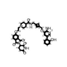 Nc1nnc(-c2ccccc2O)cc1OCC12CC(CNC(=O)C3CCN(CCOc4ccc5c(c4)C(=O)N(C4CCC(=O)NC4=O)C5=O)CC3)(C1)C2